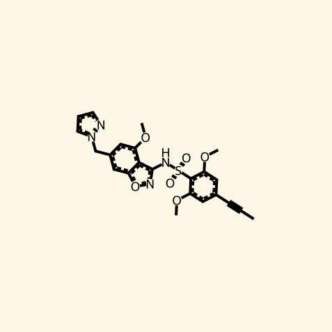 CC#Cc1cc(OC)c(S(=O)(=O)Nc2noc3cc(Cn4cccn4)cc(OC)c23)c(OC)c1